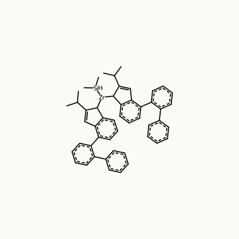 CC(C)C1=Cc2c(-c3ccccc3-c3ccccc3)cccc2[CH]1[Zr]([CH]1C(C(C)C)=Cc2c(-c3ccccc3-c3ccccc3)cccc21)[SiH](C)C